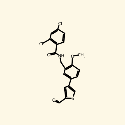 COc1ccc(-c2csc(C=O)c2)cc1CNC(=O)c1ccc(Cl)cc1Cl